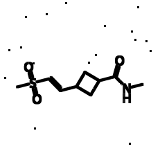 CNC(=O)C1CC(/C=C/S(C)(=O)=O)C1